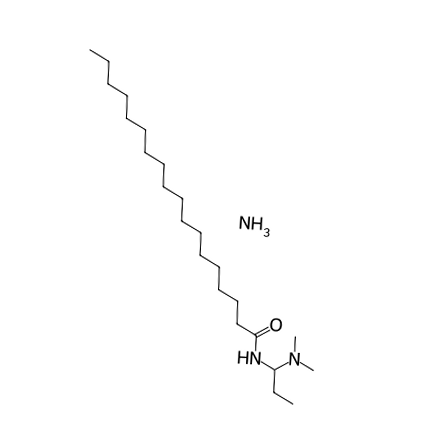 CCCCCCCCCCCCCCCCCC(=O)NC(CC)N(C)C.N